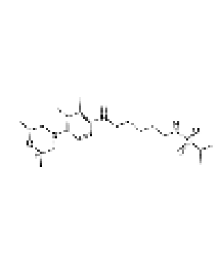 Cc1c(NCCCCCNS(=O)(=O)C(C)C)ccc(N2CC(C)O[C@H](C)C2)c1C